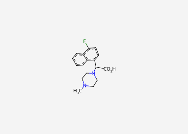 CN1CCN(C(C(=O)O)c2ccc(F)c3ccccc23)CC1